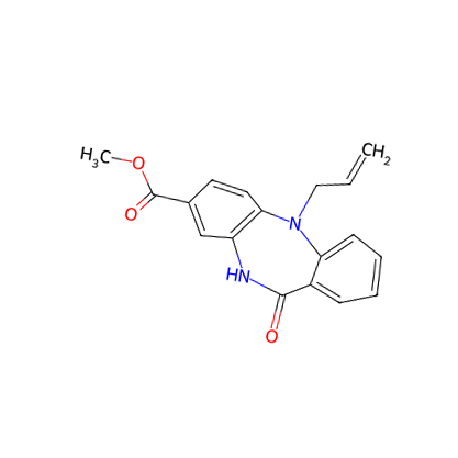 C=CCN1c2ccc(C(=O)OC)cc2NC(=O)c2ccccc21